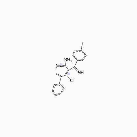 C=C(/C(Cl)=C(C(=N)c1ccc(C)cc1)\C(N)=N/C)c1ccccc1